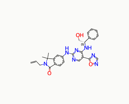 C=CCN1C(=O)c2ccc(Nc3ncc(-c4ncno4)c(N[C@H](CO)c4ccccc4)n3)cc2C1(C)C